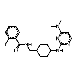 CN(C)c1ccnc(NC2CCC(CNC(=O)c3ccccc3I)CC2)n1